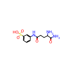 NC(=O)C(N)CCC(=O)Nc1cccc(S(=O)(=O)O)c1